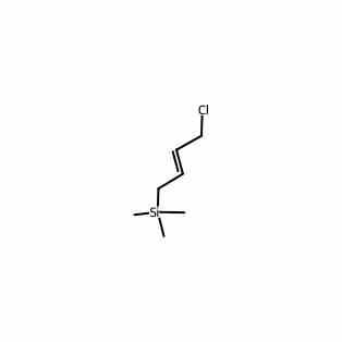 C[Si](C)(C)CC=CCCl